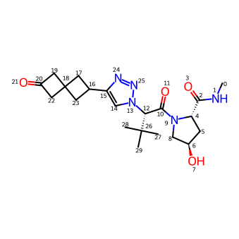 CNC(=O)[C@@H]1C[C@@H](O)CN1C(=O)[C@@H](n1cc(C2CC3(CC(=O)C3)C2)nn1)C(C)(C)C